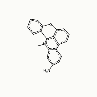 C[n+]1c2c3c(cccc3c3ccc(N)cc31)Sc1ccccc1-2